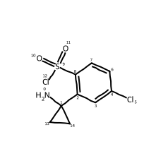 NC1(c2cc(Cl)ccc2S(=O)(=O)Cl)CC1